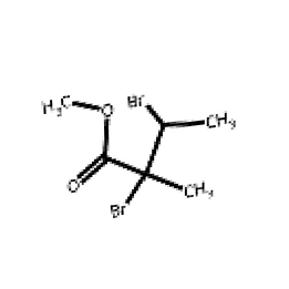 COC(=O)C(C)(Br)C(C)Br